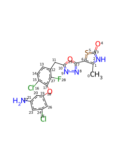 Cc1[nH]c(=O)sc1-c1nnc(Cc2ccc(Cl)c(Oc3cc(N)cc(Cl)c3)c2F)o1